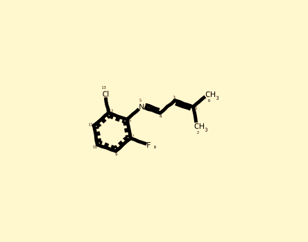 CC(C)=CC=Nc1c(F)cccc1Cl